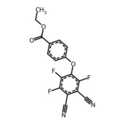 CCOC(=O)c1ccc(Oc2c(F)c(F)c(C#N)c(C#N)c2F)cc1